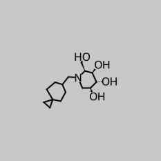 OC[C@H]1[C@@H](O)[C@H](O)[C@@H](O)CN1CC1CCC2(CC1)CC2